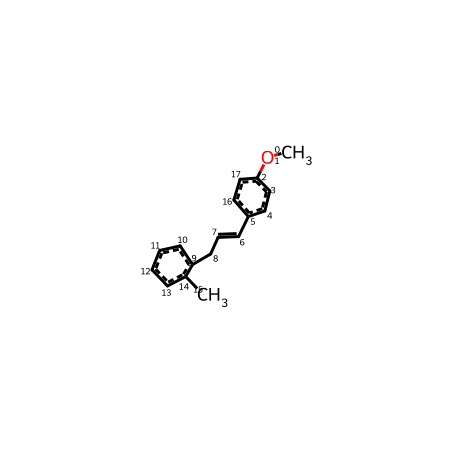 COc1ccc(C=CCc2ccccc2C)cc1